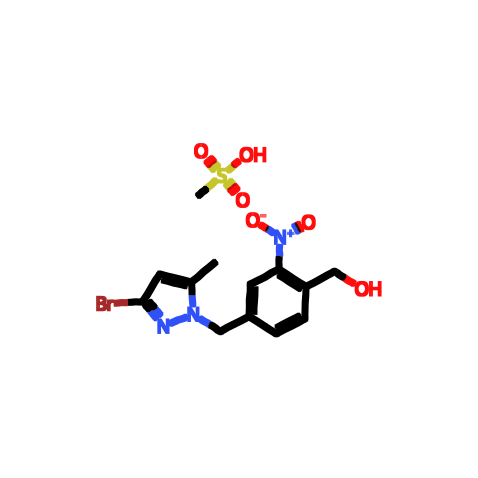 CS(=O)(=O)O.Cc1cc(Br)nn1Cc1ccc(CO)c([N+](=O)[O-])c1